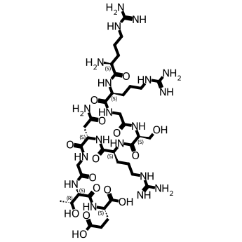 C[C@@H](O)[C@H](NC(=O)CNC(=O)[C@H](CC(N)=O)NC(=O)[C@H](CCCNC(=N)N)NC(=O)[C@H](CO)NC(=O)CNC(=O)[C@H](CCCNC(=N)N)NC(=O)[C@@H](N)CCCNC(=N)N)C(=O)N[C@@H](CCC(=O)O)C(=O)O